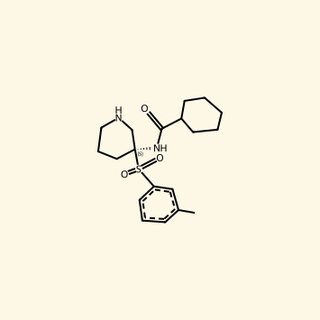 Cc1cccc(S(=O)(=O)[C@@]2(NC(=O)C3CCCCC3)CCCNC2)c1